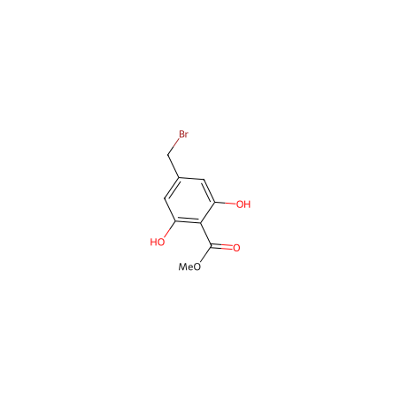 COC(=O)c1c(O)cc(CBr)cc1O